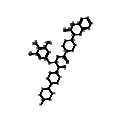 CN1CCC(N2CCN(C(=O)[C@H](CC(=O)N3CCC(N4Cc5ccccc5NC4=O)CC3)Cc3cc(Cl)c(O)c(C(F)(F)F)c3)CC2)CC1